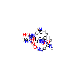 Cc1cc(C)c(CNC(=O)c2cc(-c3ccc(CN4CCN(CCOCCOCC(=O)NC(C(=O)N5C[C@H](O)C[C@H]5C(=O)NCc5ccc(-c6scnc6C)cc5)C(C)(C)C)CC4)cc3)cc3c2ccn3C2CCCC2)c(=O)[nH]1